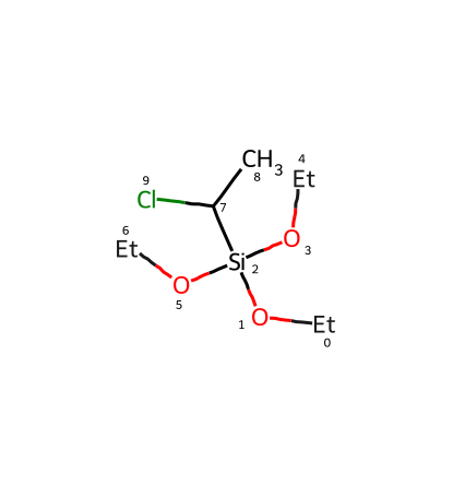 CCO[Si](OCC)(OCC)C(C)Cl